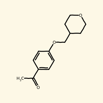 CC(=O)c1ccc(OCC2CCOCC2)cc1